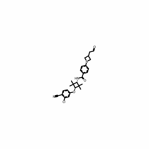 CC1(C)[C@H](NC(=O)c2ccc(N3CC(CC=O)C3)cc2)C(C)(C)[C@H]1Oc1ccc(C#N)c(Cl)c1